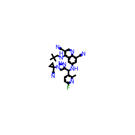 Cc1nc(F)ccc1C(Nc1cc(C#N)c2ncc(C#N)c(NCC(C)(C)C)c2c1)c1cn(C2(C#N)CC2)nn1